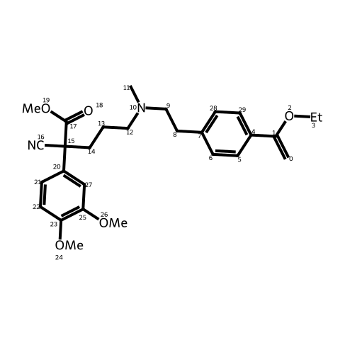 C=C(OCC)c1ccc(CCN(C)CCCC(C#N)(C(=O)OC)c2ccc(OC)c(OC)c2)cc1